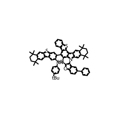 CC(C)(C)c1ccc(Nc2cc3c(cc2-c2c4c5c(c6cc7c(cc6n5-c5c(oc6ccc(-c8ccccc8)cc56)B4)C(C)(C)CCC7(C)C)c4sc5ccccc5c24)sc2cc4c(cc23)C(C)(C)CCC4(C)C)cc1